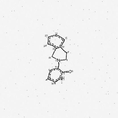 O=c1[nH]nccc1N1CCc2ccccc2C1